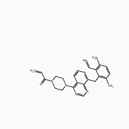 C=CC(=O)N1CCN(c2ncnc3c(Cc4c(C)ccc(N)c4C=N)nccc23)CC1